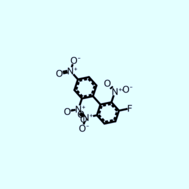 O=[N+]([O-])c1ccc(-c2c([N+](=O)[O-])ccc(F)c2[N+](=O)[O-])c([N+](=O)[O-])c1